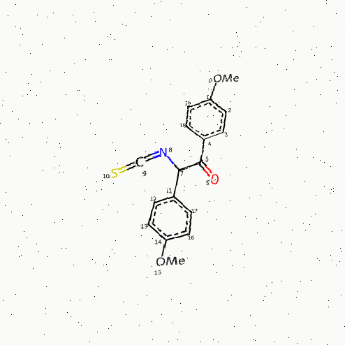 COc1ccc(C(=O)C(N=C=S)c2ccc(OC)cc2)cc1